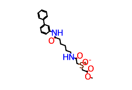 COC(=O)C[S+]([O-])CC(=O)NCCCCCC(=O)Nc1cccc(-c2ccccc2)c1